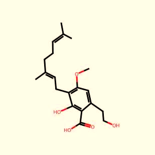 COc1cc(CCO)c(C(=O)O)c(O)c1C/C=C(\C)CCC=C(C)C